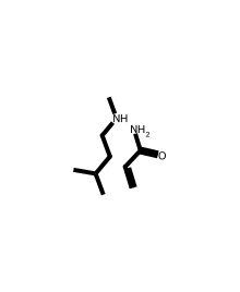 C=CC(N)=O.CNCCC(C)C